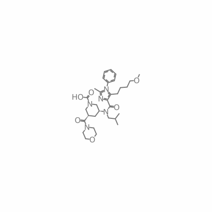 COCCCCc1c(C(=O)N(CC(C)C)[C@H]2C[C@@H](C(=O)N3CCOCC3)CN(C(=O)O)C2)nc(C)n1-c1ccccc1